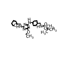 CCOc1nc(NCc2ccccc2)nc(Nc2ccc(CNC(=O)OC(C)(C)C)cc2)n1